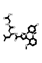 COc1cccc(OC)c1-c1cc(C(=O)N[C@@H](C=C(C)C)CC(=O)NCC(=O)O)nn1-c1ccc(Cl)cc1